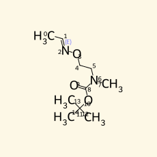 C/C=N/OCCN(C)C(=O)OC(C)(C)C